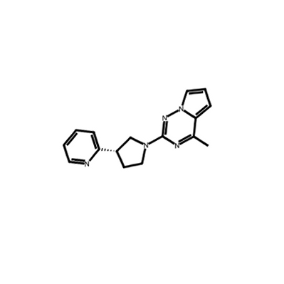 Cc1nc(N2CC[C@H](c3ccccn3)C2)nn2cccc12